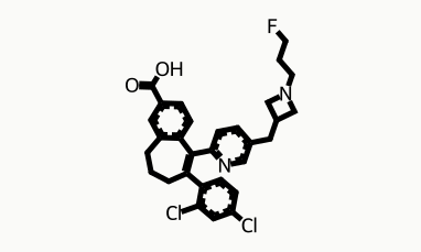 O=C(O)c1ccc2c(c1)CCCC(c1ccc(Cl)cc1Cl)=C2c1ccc(CC2CN(CCCF)C2)cn1